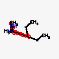 CCCCCCCC/C=C\CCCCCCCCOCC(COCCOCCOCCOCCOC(=O)CNC(C)COC(=O)CNCCOC)OCCCCCCCC/C=C\CCCCCCCC